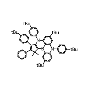 CC1(C)C2=C(C(c3ccc(C(C)(C)C)cc3)=C1c1ccccc1)N(c1ccc(C(C)(C)C)cc1)c1cc(C(C)(C)C)cc3c1B2c1cc(C(C)(C)C)ccc1N3c1ccc(C(C)(C)C)cc1